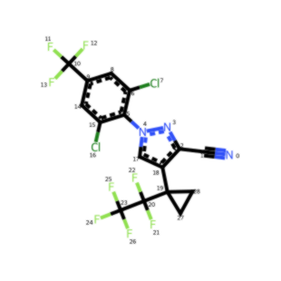 N#Cc1nn(-c2c(Cl)cc(C(F)(F)F)cc2Cl)cc1C1(C(F)(F)C(F)(F)F)CC1